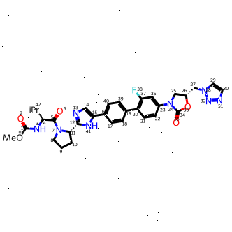 COC(=O)N[C@H](C(=O)N1CCC[C@H]1c1ncc(-c2ccc(-c3ccc(N4C[C@H](Cn5ccnn5)OC4=O)cc3F)cc2)[nH]1)C(C)C